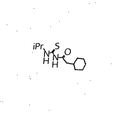 CC(C)NC(=S)NC(=O)CC1CCCCC1